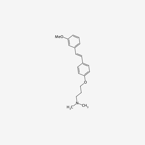 COc1cccc(/C=C/c2ccc(OCCCN(C)C)cc2)c1